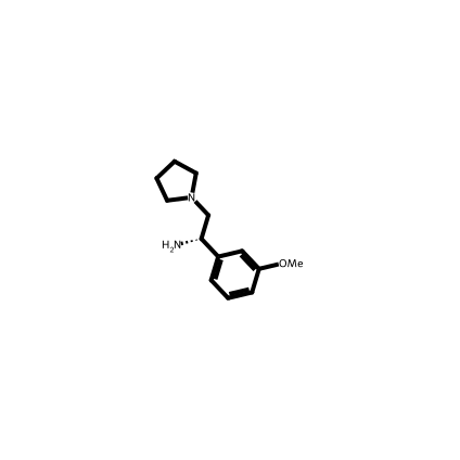 COc1cccc([C@H](N)CN2CCCC2)c1